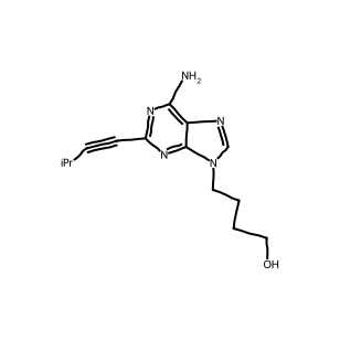 CC(C)C#Cc1nc(N)c2ncn(CCCCO)c2n1